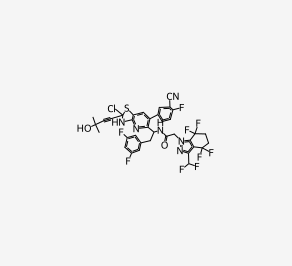 CC(C)(O)C#CC1(Cl)Nc2nc(C(Cc3cc(F)cc(F)c3)NC(=O)Cn3nc(C(F)F)c4c3C(F)(F)CCC4(F)F)c(-c3ccc(F)c(C#N)c3)cc2S1